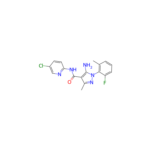 Cc1cccc(F)c1-n1nc(C)c(C(=O)Nc2ccc(Cl)cn2)c1N